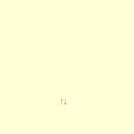 CC(C)C1CC(N(C)C)C1